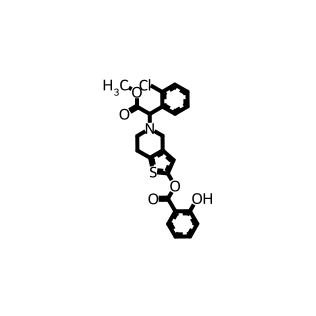 COC(=O)C(c1ccccc1Cl)N1CCc2sc(OC(=O)c3ccccc3O)cc2C1